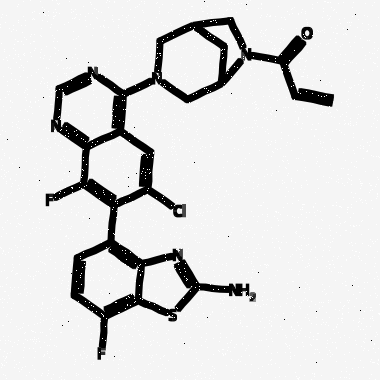 C=CC(=O)N1CC2CC1CN(c1ncnc3c(F)c(-c4ccc(F)c5sc(N)nc45)c(Cl)cc13)C2